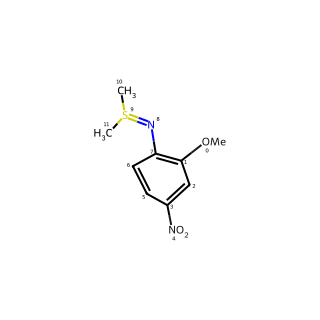 COc1cc([N+](=O)[O-])ccc1N=S(C)C